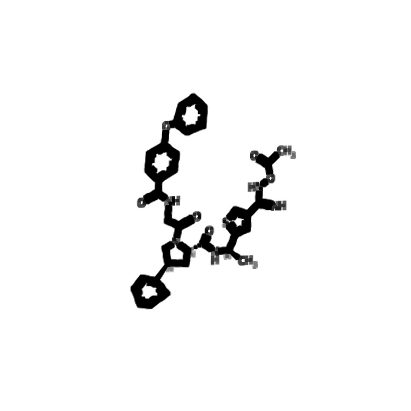 CC(=O)ONC(=N)c1csc([C@@H](C)NC(=O)[C@@H]2C[C@@H](c3ccccc3)CN2C(=O)CNC(=O)c2ccc(Oc3ccccc3)cc2)c1